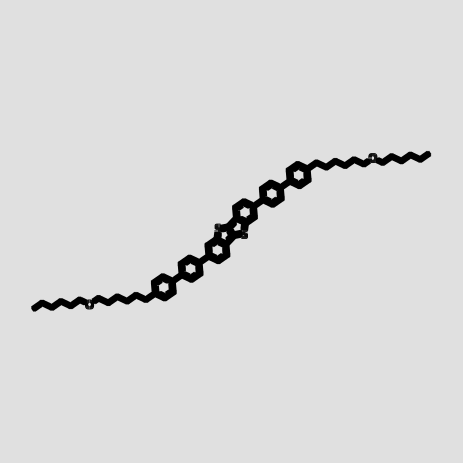 CCCCCCOCCCCCCc1ccc(-c2ccc(-c3ccc4c(c3)sc3c5ccc(-c6ccc(-c7ccc(CCCCCCOCCCCCC)cc7)cc6)cc5sc43)cc2)cc1